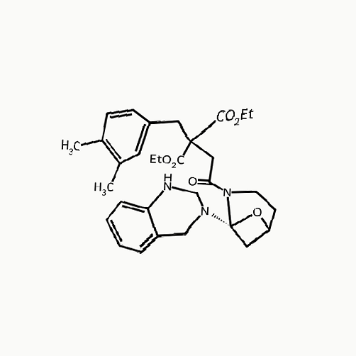 CCOC(=O)C(CC(=O)N1CCC2C[C@]1(N1CNc3ccccc3C1)O2)(Cc1ccc(C)c(C)c1)C(=O)OCC